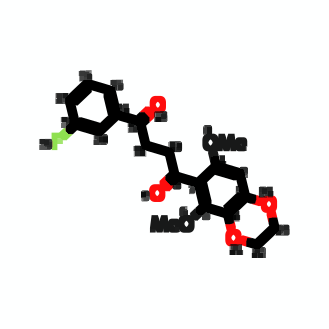 COc1cc2c(c(OC)c1C(=O)CCC(=O)c1cccc(F)c1)OCCO2